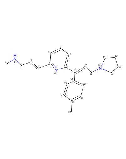 CNC/C=C/c1cccc(/C(=C/CN2CCCC2)c2ccc(C)cc2)n1